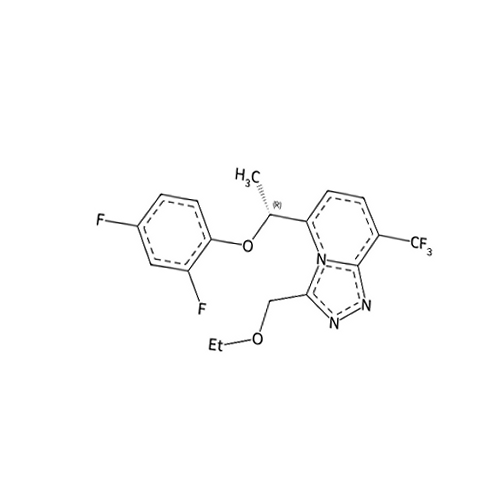 CCOCc1nnc2c(C(F)(F)F)ccc([C@@H](C)Oc3ccc(F)cc3F)n12